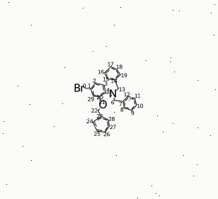 Brc1ccc(N(Cc2ccccc2)Cc2ccccc2)c(OCc2ccccc2)c1